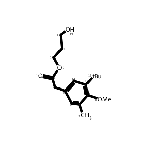 COc1c(C)cc(CC(=O)OCCCO)cc1C(C)(C)C